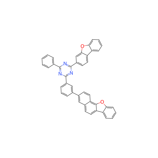 c1ccc(-c2nc(-c3cccc(-c4ccc5c(ccc6c7ccccc7oc56)c4)c3)nc(-c3ccc4c(c3)oc3ccccc34)n2)cc1